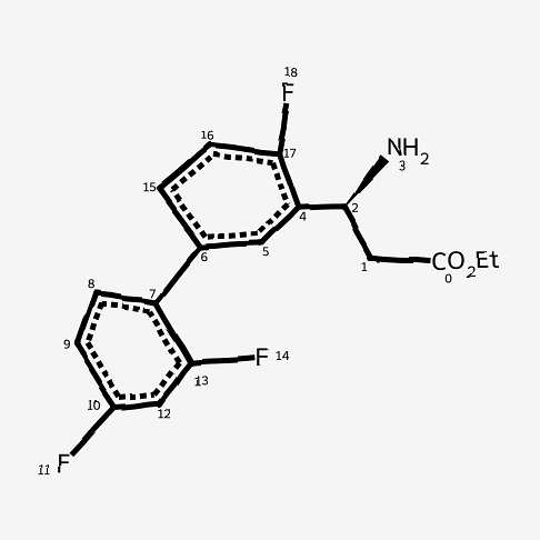 CCOC(=O)C[C@H](N)c1cc(-c2ccc(F)cc2F)ccc1F